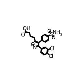 NS(=O)(=O)c1ccc(-c2c(-c3ccc(Cl)c(Cl)c3)noc2CCCC(=O)O)cc1